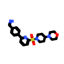 N=Cc1ccc(-c2cccc(S(=O)(=O)N3CCC(N4CCOCC4)CC3)n2)cc1